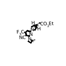 CCOC(=O)C[C@@H]1[C@H]2CN(c3cc(C(F)(F)F)c(C#N)c(N4CC[C@@H]4C)n3)C[C@@H]12